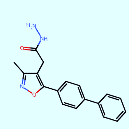 Cc1noc(-c2ccc(-c3ccccc3)cc2)c1CC(=O)NN